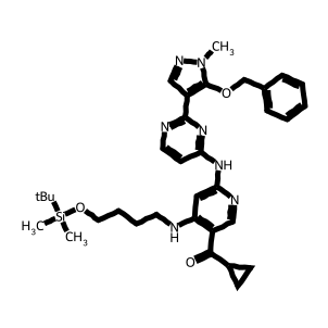 Cn1ncc(-c2nccc(Nc3cc(NCCCCO[Si](C)(C)C(C)(C)C)c(C(=O)C4CC4)cn3)n2)c1OCc1ccccc1